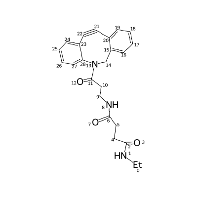 CCNC(=O)CCC(=O)NCCC(=O)N1Cc2ccccc2C#Cc2ccccc21